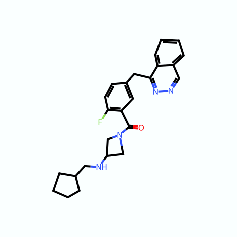 O=C(c1cc(Cc2nncc3ccccc23)ccc1F)N1CC(NCC2CCCC2)C1